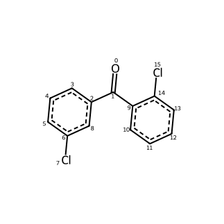 O=C(c1cccc(Cl)c1)c1ccccc1Cl